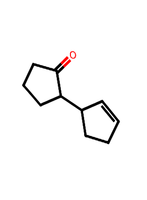 O=C1CCCC1C1C=CCC1